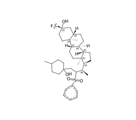 CC1CCC(O)(CC([C@H](C)[C@@H]2CC[C@H]3[C@@H]4CC[C@H]5C[C@](O)(C(F)(F)F)CC[C@]5(C)[C@H]4CC[C@@]32C)S(=O)(=O)c2ccccc2)CC1